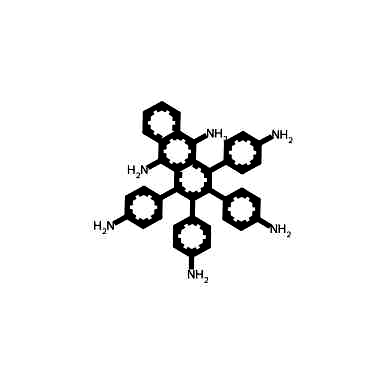 Nc1ccc(-c2c(-c3ccc(N)cc3)c(-c3ccc(N)cc3)c3c(N)c4ccccc4c(N)c3c2-c2ccc(N)cc2)cc1